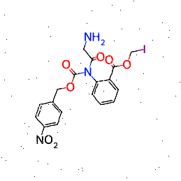 NCC(=O)N(C(=O)OCc1ccc([N+](=O)[O-])cc1)c1ccccc1C(=O)OCI